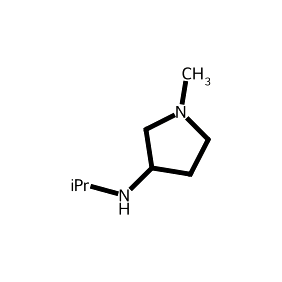 CC(C)NC1CCN(C)C1